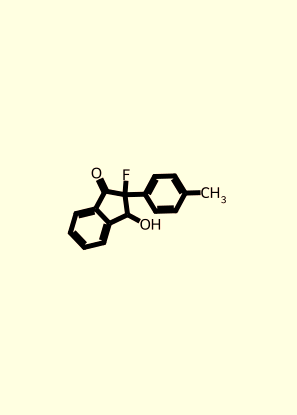 Cc1ccc(C2(F)C(=O)c3ccccc3C2O)cc1